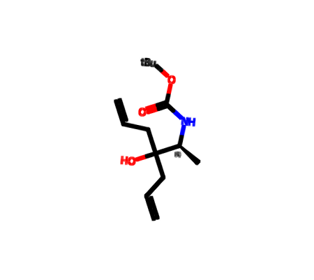 C=CCC(O)(CC=C)[C@H](C)NC(=O)OC(C)(C)C